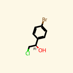 O[C@@H](CCl)c1ccc(Br)cc1